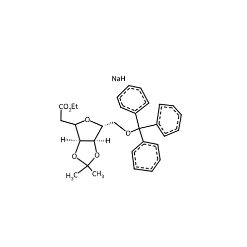 CCOC(=O)CC1O[C@H](COC(c2ccccc2)(c2ccccc2)c2ccccc2)[C@H]2OC(C)(C)O[C@@H]12.[NaH]